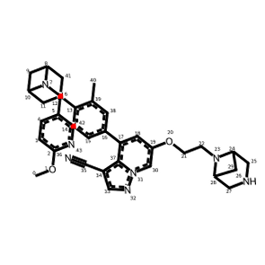 COc1ccc(CN2C3CC2CN(c2ncc(-c4cc(OCCN5C6CNCC5C6)cn5ncc(C#N)c45)cc2C)C3)cn1